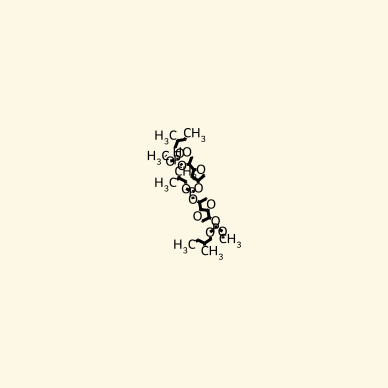 CCC(C)COP(OC)OC(CO)C1CC(OP(OCC(C)C)OC2COC3C(OP(OC)OCC(C)CC)COC23)CO1